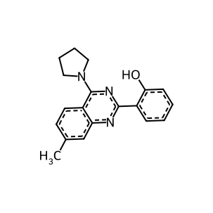 Cc1ccc2c(N3CCCC3)nc(-c3ccccc3O)nc2c1